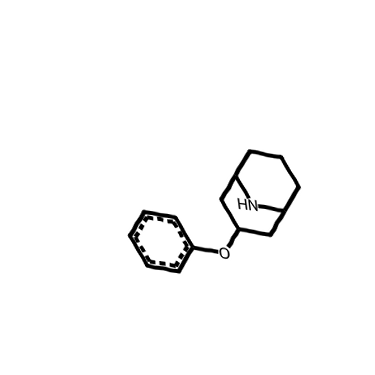 c1ccc(OC2CC3CCCC(C2)N3)cc1